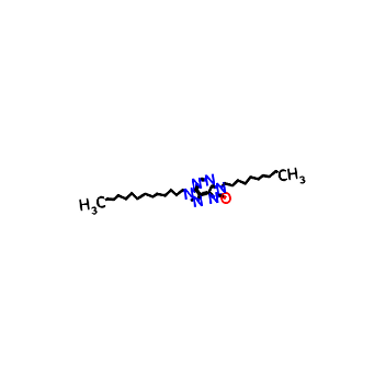 CCCCCCCCCCCCCCn1cnc2c3nc(=O)n(CCCCCCCCCC)c-3ncnc21